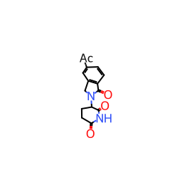 CC(=O)c1ccc2c(c1)CN(C1CCC(=O)NC1=O)C2=O